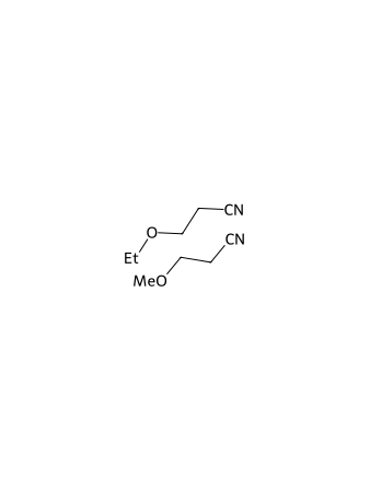 CCOCCC#N.COCCC#N